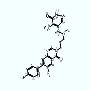 C[C@@H](CCCn1cnc2cc(-c3ccc(F)cn3)c(F)cc2c1=O)Nc1cn[nH]c(=O)c1C(F)(F)F